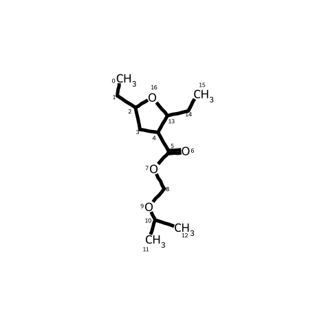 CCC1CC(C(=O)OCOC(C)C)C(CC)O1